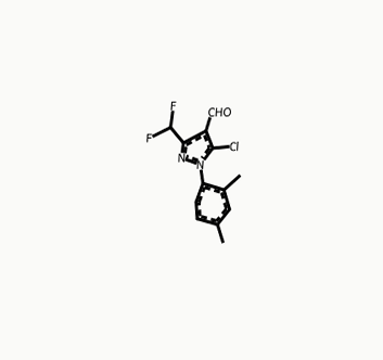 Cc1ccc(-n2nc(C(F)F)c(C=O)c2Cl)c(C)c1